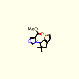 COC(=O)c1cncn1C1c2sccc2CC1(C)C